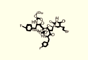 CC(C)(C)OC(=O)NC(Cc1ccc(F)cc1)C(=O)C(O)[C@H]1O[C@@H](n2cc(C=CBr)c(=O)[nH]c2=O)C[C@@]1(O)C(=O)C(Cc1ccc(F)cc1)NC(=O)OC(C)(C)C